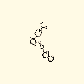 COC(=O)N1CCC(c2nccnc2OC2CN(c3ccc4ccccc4n3)C2)CC1